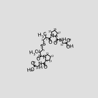 CC(CSSCC(C)C(=O)N1CCC[C@H]1C(=O)NCC(=O)O)C(=O)N1CCC[C@H]1C(=O)NCC(=O)O